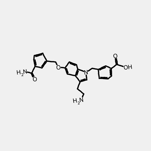 NCCc1cn(Cc2cccc(C(=O)O)c2)c2ccc(OCc3cccc(C(N)=O)c3)cc12